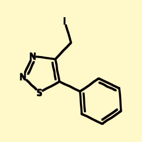 ICc1nnsc1-c1ccccc1